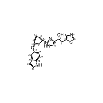 O[C@H](Cc1cncs1)c1c[nH]c(-c2cccc(Oc3ccc4[nH]ccc4c3)c2)n1